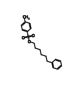 Cc1ccc(S(=O)(=O)OCCCCCCc2ccccc2)cc1